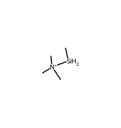 C[SiH2][N+](C)(C)C